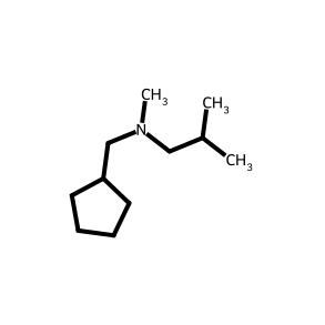 CC(C)CN(C)CC1CCCC1